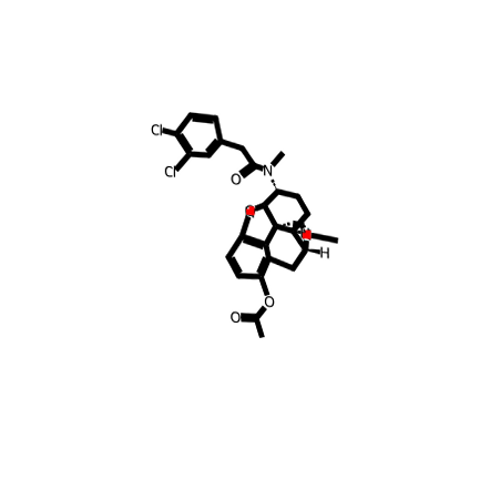 CC(=O)Oc1ccc2c3c1C[C@@H]1[C@@H]4CC[C@@H](N(C)C(=O)Cc5ccc(Cl)c(Cl)c5)[C@H](O2)[C@]34CCN1C